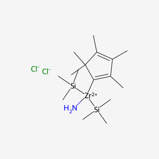 CC1=C(C)C(C)(C)[C]([Zr+2]([NH2])([Si](C)(C)C)[Si](C)(C)C)=C1C.[Cl-].[Cl-]